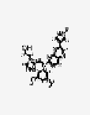 COc1cc(OC)cc(N(Cc2nncn2CCO)c2ccc3ncc(-c4cnn(C)c4)nc3n2)c1